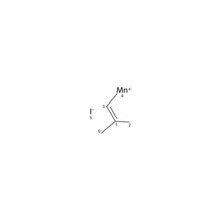 CC(C)=[CH][Mn+].[I-]